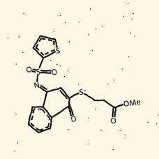 COC(=O)CCSC1=CC(=NS(=O)(=O)c2cccs2)c2ccccc2C1=O